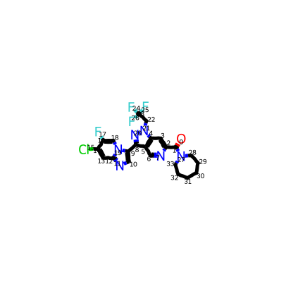 O=C(c1cc2c(cn1)c(-c1cnc3cc(Cl)c(F)cn13)nn2CC(F)(F)F)N1CCCCCC1